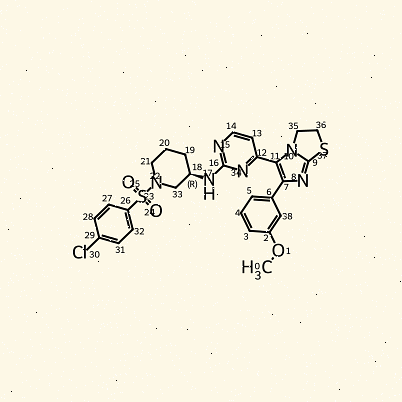 COc1cccc(-c2nc3n(c2-c2ccnc(N[C@@H]4CCCN(S(=O)(=O)c5ccc(Cl)cc5)C4)n2)CCS3)c1